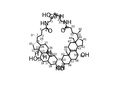 C[C@H](CCC(=O)NCC(=O)O)[C@H]1CC[C@H]2[C@@H]3[C@H](O)CC4C[C@H](O)CC[C@]4(C)[C@H]3CC[C@]12C.C[C@H](CCC(=O)NCCS(=O)(=O)O)[C@H]1CCC2C3C(CC[C@@]21C)[C@@]1(C)CC[C@@H](O)CC1C[C@H]3O